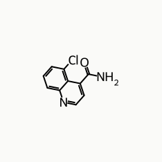 NC(=O)c1ccnc2cccc(Cl)c12